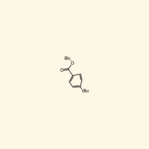 CC[C@@H](C)OC(=O)c1ccc(C(C)(C)C)cc1